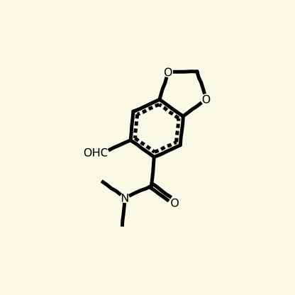 CN(C)C(=O)c1cc2c(cc1C=O)OCO2